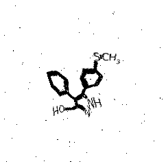 CSc1ccc(-c2[nH]nc(CO)c2-c2ccccc2)cc1